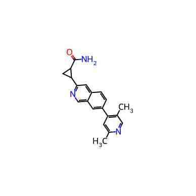 Cc1cc(-c2ccc3cc(C4CC4C(N)=O)ncc3c2)c(C)cn1